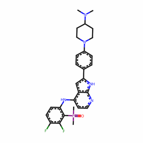 CN(C)C1CCN(c2ccc(-c3cc4c(Nc5ccc(F)c(F)c5P(C)(C)=O)ccnc4[nH]3)cc2)CC1